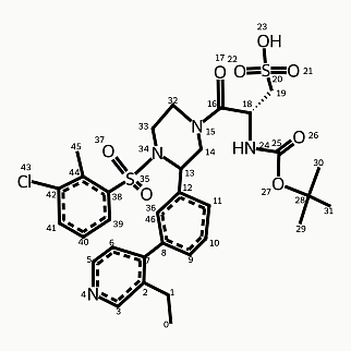 CCc1cnccc1-c1cccc(C2CN(C(=O)[C@H](CS(=O)(=O)O)NC(=O)OC(C)(C)C)CCN2S(=O)(=O)c2cccc(Cl)c2C)c1